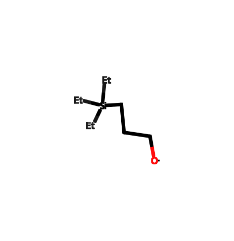 CC[Si](CC)(CC)CCC[O]